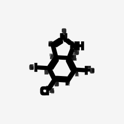 Fc1cc(Cl)c(I)c2cn[nH]c12